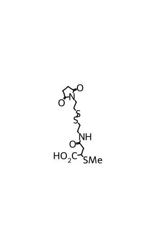 CSC(CC(=O)NCCSSCCN1C(=O)CCC1=O)C(=O)O